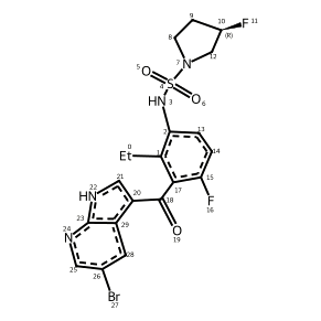 CCc1c(NS(=O)(=O)N2CC[C@@H](F)C2)ccc(F)c1C(=O)c1c[nH]c2ncc(Br)cc12